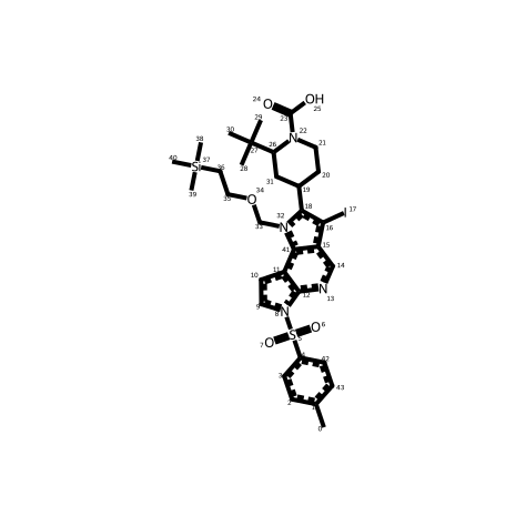 Cc1ccc(S(=O)(=O)n2ccc3c2ncc2c(I)c(C4CCN(C(=O)O)C(C(C)(C)C)C4)n(COCC[Si](C)(C)C)c23)cc1